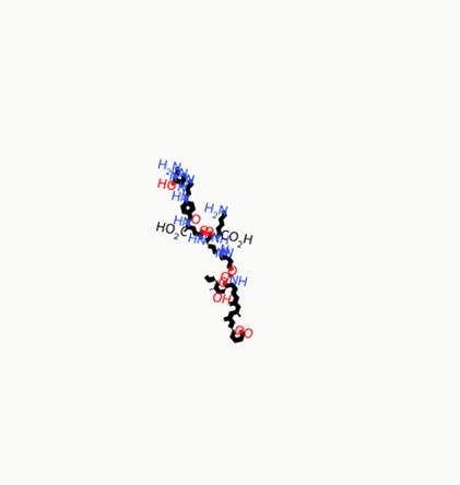 C/C=C/[C@@H]1O[C@H]([C@@H](/C=C/C=C(\C)C[C@@H](C)/C=C(C)\C=C\[C@H]2CC=CC(=O)O2)NC(=O)OCCc2cn(CCC[C@H](NC(=O)CC[C@H](NC(=O)c3ccc(NCc4cnc5nc(N)nc(O)c5n4)cc3)C(=O)O)C(=O)N[C@H](CCCCN)C(=O)O)nn2)C[C@@H](O)[C@@H]1C